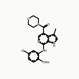 COc1ccc(Cl)cc1Nc1ncc(C(=O)N2CCOCC2)c2c(C)c[nH]c12